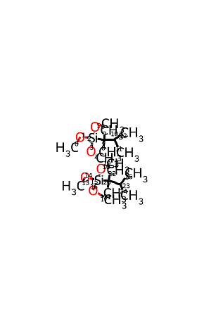 CO[Si](OC)(OC)C(C)(C)C(C)C.CO[Si](OC)(OC)C(C)(C)C(C)C